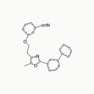 Cc1oc(-c2cccc(-c3ccccc3)c2)nc1CCOc1[c]c(C#N)ccc1